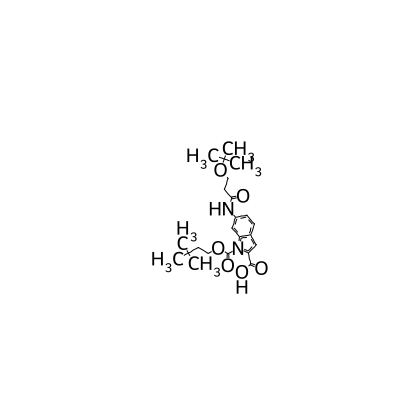 CC(C)(C)CCOC(=O)n1c(C(=O)O)cc2ccc(NC(=O)CCOC(C)(C)C)cc21